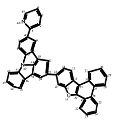 c1ccc(-c2ccc3c(c2)c2cc(-c4ccc5c(c4)oc4c6ccccc6c6ccccc6c54)cc4c5ccccc5n3c42)nc1